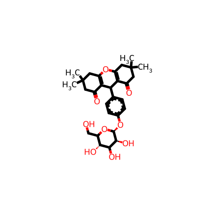 CC1(C)CC(=O)C2=C(C1)OC1=C(C(=O)CC(C)(C)C1)C2c1ccc(O[C@@H]2OC(CO)[C@@H](O)C(O)[C@@H]2O)cc1